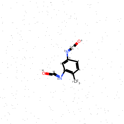 O=C=Nc1ccc(C(F)(F)F)c(N=C=O)c1